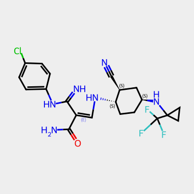 N#C[C@H]1C[C@@H](NC2(C(F)(F)F)CC2)CC[C@@H]1N/C=C(\C(=N)Nc1ccc(Cl)cc1)C(N)=O